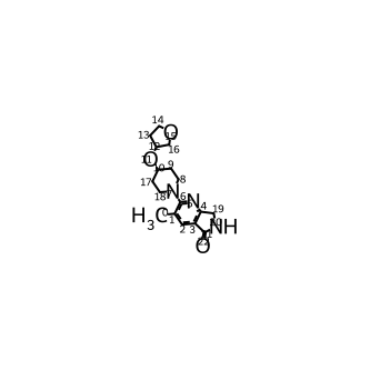 Cc1cc2c(nc1N1CCC(OC3CCOC3)CC1)CNC2=O